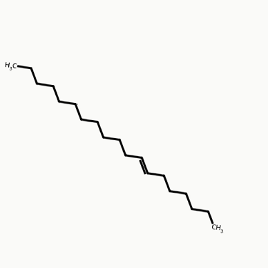 CCCCC[CH]CCCCCC=CCCCCCC